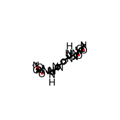 CCC(OC(=O)N(C)C)(C(=O)NCc1nc(-c2cnc(-c3ccc(-c4c[nH]c(C(NC(=O)C(CC)(OC(=O)N(C)C)C5(C)CC5)C(C)(C)C)n4)cc3)cn2)c[nH]1)C1(C)CC1